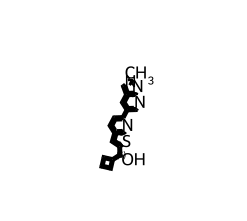 Cn1cc2cc(-c3ccc4cc([C@@H](O)C5CCC5)sc4n3)cnc2n1